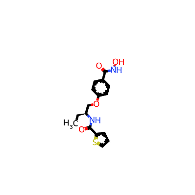 CC[C@@H](COc1ccc(C(=O)NO)cc1)NC(=O)c1cccs1